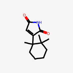 CC1(C)CCCCC1(C)C1=CC(=O)NC1=O